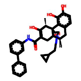 C[C@H]1C(O)=C(C(=O)Nc2cccc(-c3ccccc3)c2)C[C@@]2(O)[C@H]3Cc4ccc(O)c(O)c4[C@@]12CCN3CC1CC1